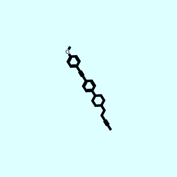 CC#CCCC1CCC(c2ccc(C#Cc3ccc(OC)cc3)cc2)CC1